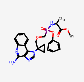 CC(C)OC(=O)C(C)NP(=O)(COCC1(n2cnc3c(N)nc4ccccc4c32)CC1)Oc1ccccc1